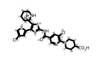 O=C(Nc1nc(-c2cc(Cl)cs2)c(N2CC3CCC2CN3)s1)c1cnc(N2CCC(C(=O)O)CC2)c(Cl)c1